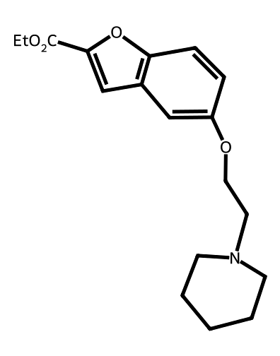 CCOC(=O)c1cc2cc(OCCN3CCCCC3)ccc2o1